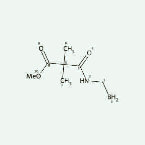 BCNC(=O)C(C)(C)C(=O)OC